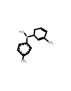 CC1=CC(N(C)c2ccc(C)cc2)CC=C1